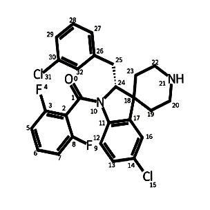 O=C(c1c(F)cccc1F)N1c2ccc(Cl)cc2C2(CCNCC2)[C@H]1Cc1cccc(Cl)c1